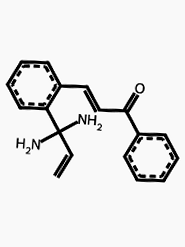 C=CC(N)(N)c1ccccc1/C=C/C(=O)c1ccccc1